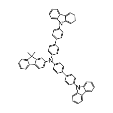 CC1(C)c2ccccc2-c2ccc(N(c3ccc(-c4ccc(-n5c6c(c7ccccc75)=CCCC=6)cc4)cc3)c3ccc(-c4ccc(-n5c6ccccc6c6ccccc65)cc4)cc3)cc21